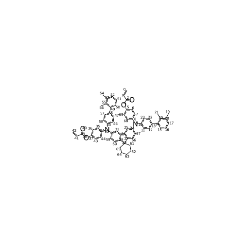 C=CC(=O)Oc1ccc(N(c2ccc(-c3cccc(C)c3C)cc2)c2ccc(C3(c4ccc(N(c5ccc(OC(=O)C=C)cc5)c5ccc(-c6cccc(C)c6C)cc5)cc4)CCCCC3)cc2)cc1